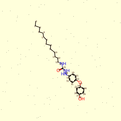 CCCCCCCCCCCCCCNC(=O)NNc1ccc(Oc2ccc(O)cc2)cc1